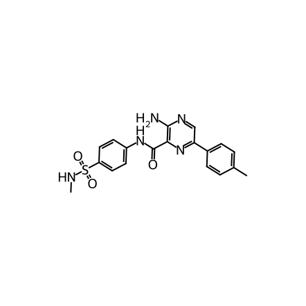 CNS(=O)(=O)c1ccc(NC(=O)c2nc(-c3ccc(C)cc3)cnc2N)cc1